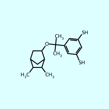 CC1C2CC(OC(C)(C)c3cc(S)cc(S)c3)C(C2)C1C